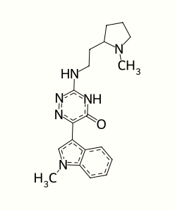 CN1CCCC1CCNc1nnc(-c2cn(C)c3ccccc23)c(=O)[nH]1